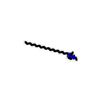 CCCCCCCCCCCCCCCCCCCN1C=CN(CC)C1C